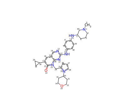 CN1CCCC(Nc2ccc(Nc3ncc4cc(C5CC5)c(=O)n(Cc5cccn5C5CCOCC5)c4n3)cc2)C1